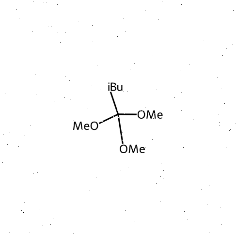 CCC(C)C(OC)(OC)OC